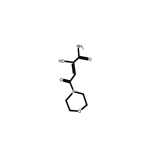 NC(=O)/C(O)=C/C(=O)N1CCOCC1